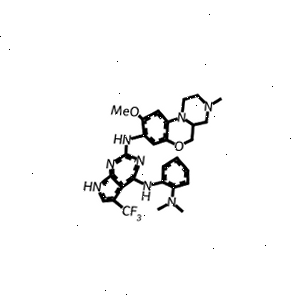 COc1cc2c(cc1Nc1nc(Nc3ccccc3N(C)C)c3c(C(F)(F)F)c[nH]c3n1)OCC1CN(C)CCN21